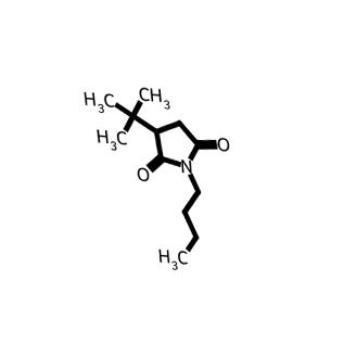 CCCCN1C(=O)CC(C(C)(C)C)C1=O